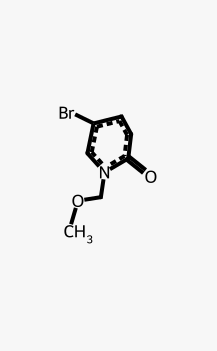 COCn1cc(Br)ccc1=O